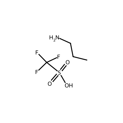 CCCN.O=S(=O)(O)C(F)(F)F